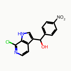 O=[N+]([O-])c1ccc(C(O)c2c[nH]c3c(Cl)nccc23)cc1